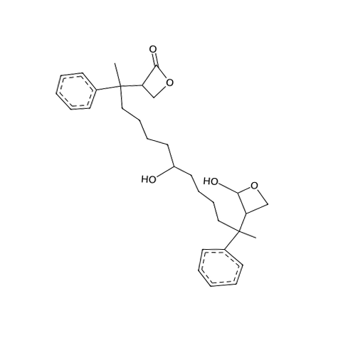 CC(CCCCC(O)CCCCC(C)(c1ccccc1)C1COC1O)(c1ccccc1)C1COC1=O